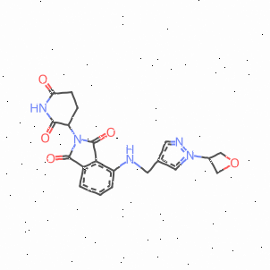 O=C1CCC(N2C(=O)c3cccc(NCc4cnn(C5COC5)c4)c3C2=O)C(=O)N1